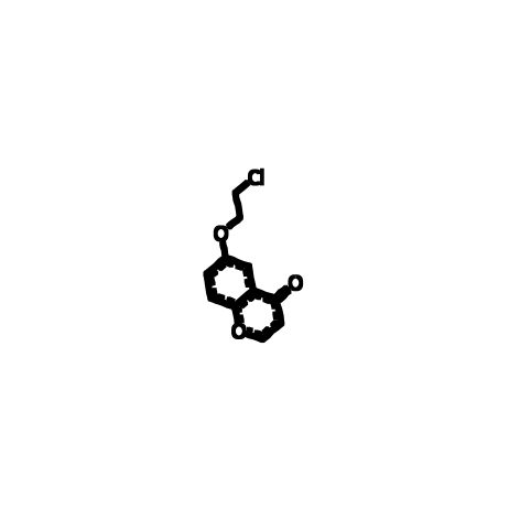 O=c1ccoc2ccc(OCCCl)cc12